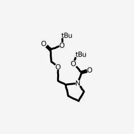 CC(C)(C)OC(=O)COCC1CCCN1C(=O)OC(C)(C)C